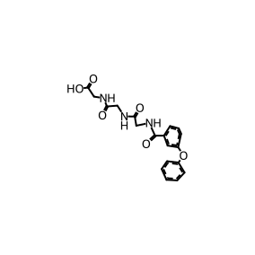 O=C(O)CNC(=O)CNC(=O)CNC(=O)c1cccc(Oc2ccccc2)c1